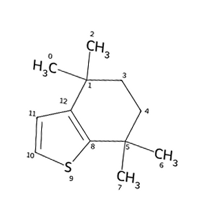 CC1(C)CCC(C)(C)c2sccc21